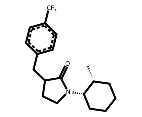 C[C@@H]1CCCC[C@@H]1N1CCC(Cc2ccc(C(F)(F)F)cc2)C1=O